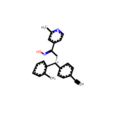 C#Cc1ccc([C@@H](CC(=NO)c2ccnc(C)c2)c2ccccc2C)cc1